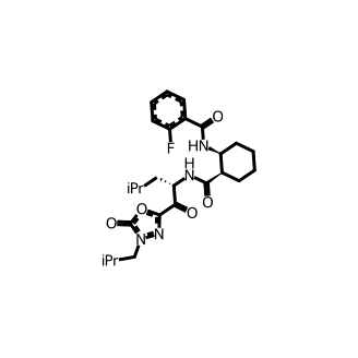 CC(C)C[C@H](NC(=O)[C@@H]1CCCC[C@@H]1NC(=O)c1ccccc1F)C(=O)c1nn(CC(C)C)c(=O)o1